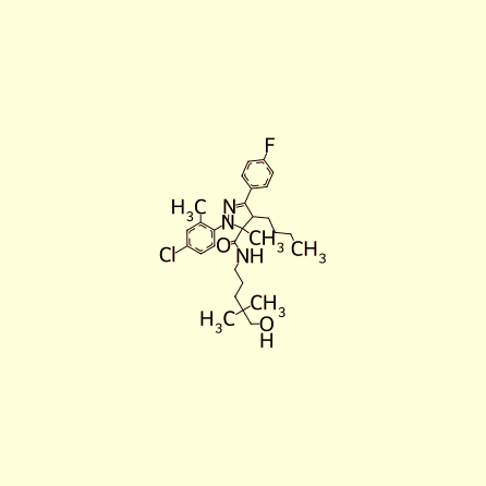 CCCCC1C(c2ccc(F)cc2)=NN(c2ccc(Cl)cc2C)C1(C)C(=O)NCCCC(C)(C)CO